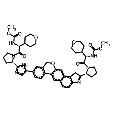 COC(=O)N[C@H](C(=O)N1CCC[C@H]1C1=Nc2ccc3cc4c(cc3c2C1)OCc1cc(-c2cnc([C@@H]3CCCN3C(=O)[C@@H](NC(=O)OC)C3CCOCC3)[nH]2)ccc1-4)C1CCOCC1